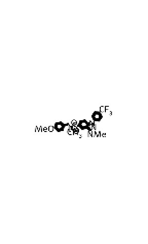 CNc1nn(-c2ccc(C(F)(F)F)cc2)c2ccc(S(=O)(=O)N(C)Cc3ccc(OC)cc3)cc12